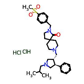 CC(C)CN1C[C@H](CN2CCC3(CC2)CCN(Cc2ccc(S(C)(=O)=O)cc2)C3=O)[C@@H](c2ccccc2)C1.Cl.Cl